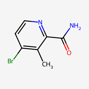 Cc1c(Br)ccnc1C(N)=O